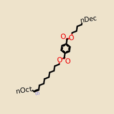 CCCCCCCC/C=C\CCCCCCCCOC(=O)c1ccc(C(=O)OCCCCCCCCCCCCCC)cc1